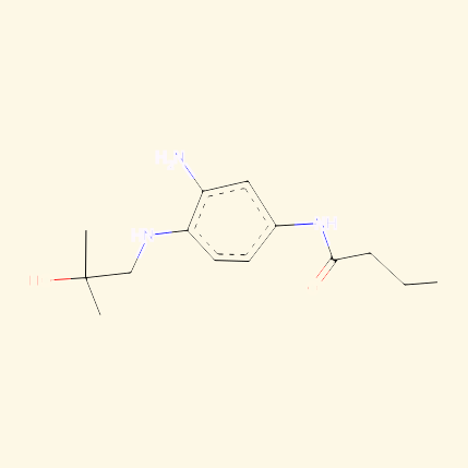 CCCC(=O)Nc1ccc(NCC(C)(C)O)c(N)c1